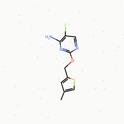 Cc1csc(COc2ncc(F)c(N)n2)c1